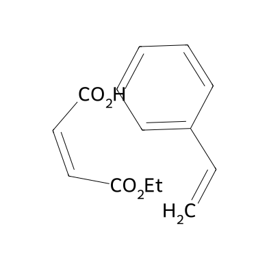 C=Cc1ccccc1.CCOC(=O)/C=C\C(=O)O